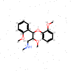 CNCC(OC)C(Oc1ccccc1OC)c1ccccc1OC